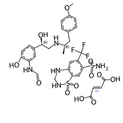 COc1ccc(C[C@@H](C)NC[C@H](O)c2ccc(O)c(NC=O)c2)cc1.NS(=O)(=O)c1cc2c(cc1C(F)(F)F)NCNS2(=O)=O.O=C(O)/C=C/C(=O)O